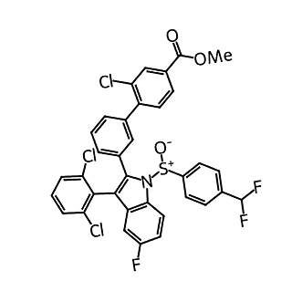 COC(=O)c1ccc(-c2cccc(-c3c(-c4c(Cl)cccc4Cl)c4cc(F)ccc4n3[S+]([O-])c3ccc(C(F)F)cc3)c2)c(Cl)c1